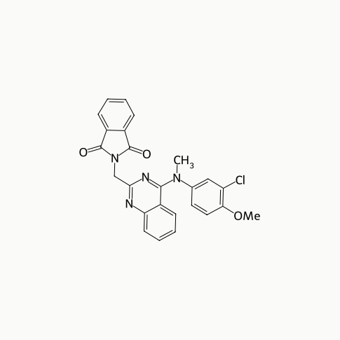 COc1ccc(N(C)c2nc(CN3C(=O)c4ccccc4C3=O)nc3ccccc23)cc1Cl